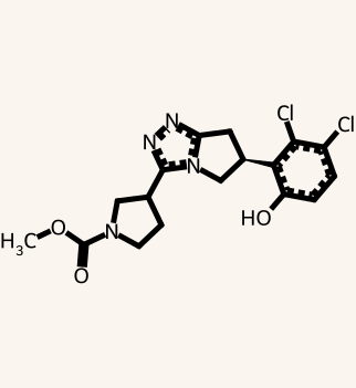 COC(=O)N1CCC(c2nnc3n2C[C@H](c2c(O)ccc(Cl)c2Cl)C3)C1